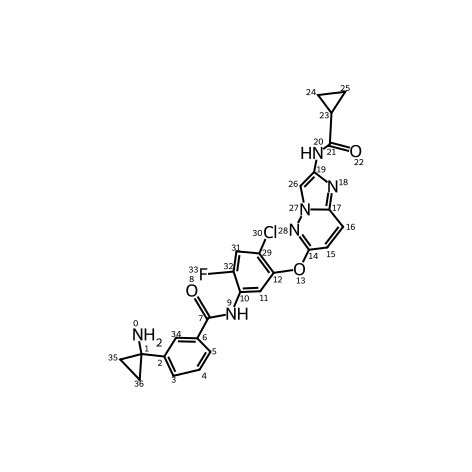 NC1(c2cccc(C(=O)Nc3cc(Oc4ccc5nc(NC(=O)C6CC6)cn5n4)c(Cl)cc3F)c2)CC1